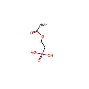 CNC(=O)OCCP(=O)(O)O